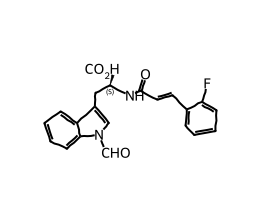 O=Cn1cc(C[C@H](NC(=O)C=Cc2ccccc2F)C(=O)O)c2ccccc21